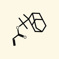 C=CC(=O)OC(C)(C)C1(C)C2CC3CC(C2)CC1C3